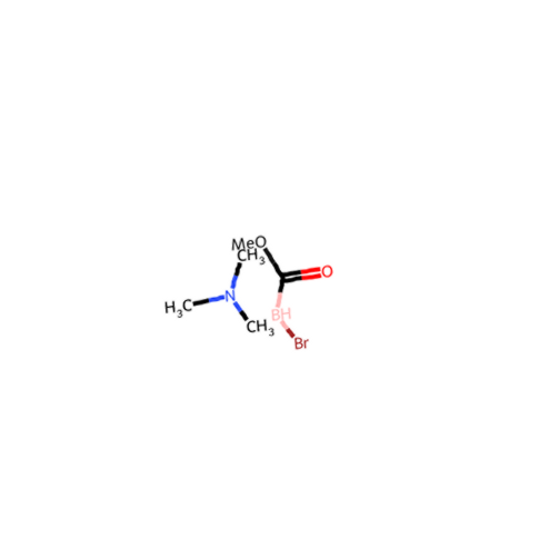 CN(C)C.COC(=O)BBr